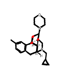 Cc1ccc2c(c1)[C@]13CCN(CC4CC4)[C@H](C2)[C@]12CCC(N1CCOCC1)(CO2)C3